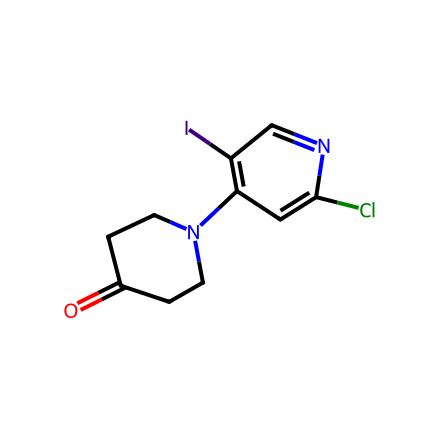 O=C1CCN(c2cc(Cl)ncc2I)CC1